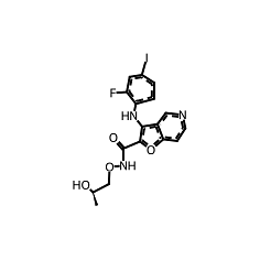 C[C@@H](O)CONC(=O)c1oc2ccncc2c1Nc1ccc(I)cc1F